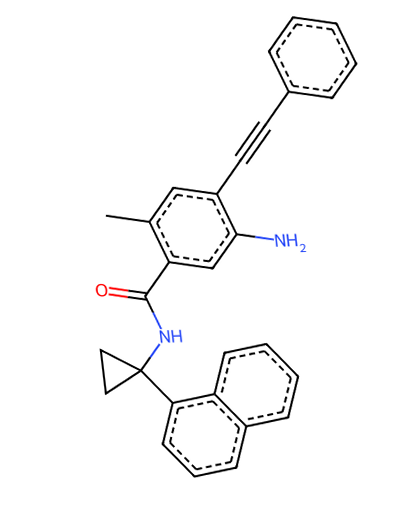 Cc1cc(C#Cc2ccccc2)c(N)cc1C(=O)NC1(c2cccc3ccccc23)CC1